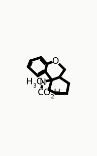 CN(C(=O)O)C12CCCCC1COc1ccccc12